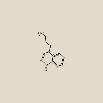 NCCCn1ccc(=O)c2ccccc21